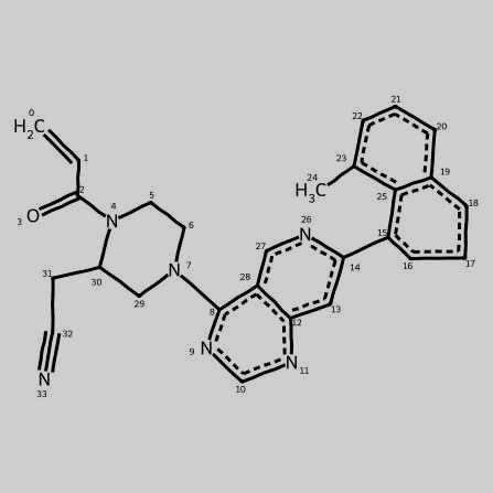 C=CC(=O)N1CCN(c2ncnc3cc(-c4cccc5cccc(C)c45)ncc23)CC1CC#N